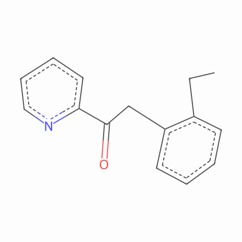 CCc1ccccc1CC(=O)c1ccccn1